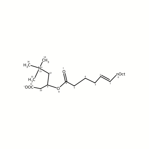 CCCCCCCC/C=C/CCCC(=O)OC(CC(=O)[O-])C[N+](C)(C)C